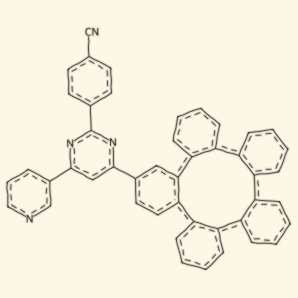 N#Cc1ccc(-c2nc(-c3cccnc3)cc(-c3ccc4c5ccccc5c5ccccc5c5ccccc5c5ccccc5c4c3)n2)cc1